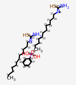 CCCCCCCCCCCCN=C(N)S.CCCCCCCCCCCCN=C(N)S.O=P(O)(O)c1ccccc1